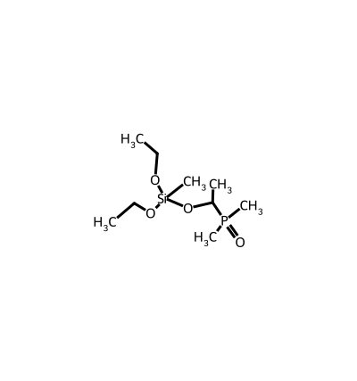 CCO[Si](C)(OCC)OC(C)P(C)(C)=O